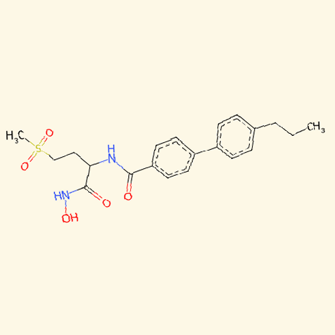 CCCc1ccc(-c2ccc(C(=O)NC(CCS(C)(=O)=O)C(=O)NO)cc2)cc1